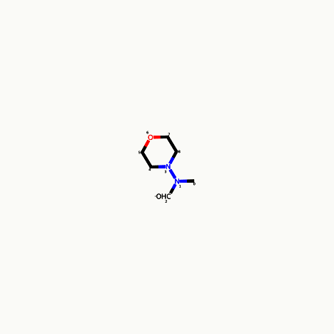 CN([C]=O)N1CCOCC1